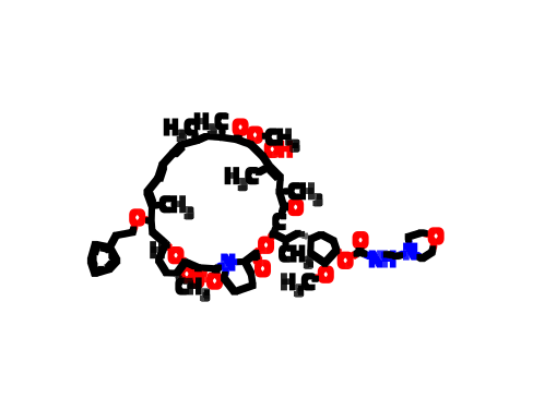 CO[C@@H]1C[C@H](C[C@@H](C)[C@@H]2CC(=O)[C@H](C)/C=C(\C)[C@@H](O)[C@@H](OC)C(=O)[C@H](C)C[C@H](C)/C=C/C=C/C=C(\C)C(OCCc3ccccc3)C[C@@H]3CC[C@@H](C)[C@@](O)(O3)C(=O)C(=O)N3CCCCC3C(=O)O2)CC[C@H]1OC(=O)NCCN1CCOCC1